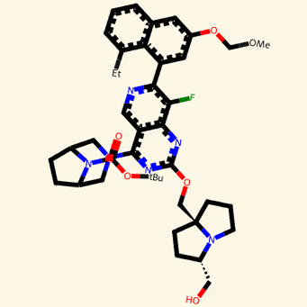 CCc1cccc2cc(OCOC)cc(-c3ncc4c(N5CC6CCC(C5)N6C(=O)OC(C)(C)C)nc(OC[C@@]56CCCN5[C@H](CO)CC6)nc4c3F)c12